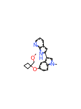 COCC1(Oc2ccc3c(c2)c(-c2cc4cccnc4[nH]2)cn3C)CCC1